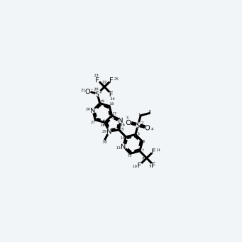 CCS(=O)(=O)c1cc(C(F)(F)F)cnc1-c1nc2cc([S+]([O-])C(F)(F)F)ncc2n1C